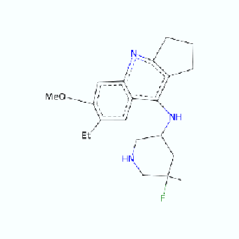 CCc1cc2c(NC3CNCC(C)(F)C3)c3c(nc2cc1OC)CCC3